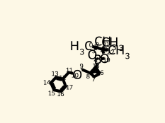 CC1(C)OB(C2C3CC2(COCc2ccccc2)C3)OC1(C)C